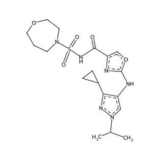 CC(C)n1cc(Nc2nc(C(=O)NS(=O)(=O)N3CCCOCC3)co2)c(C2CC2)n1